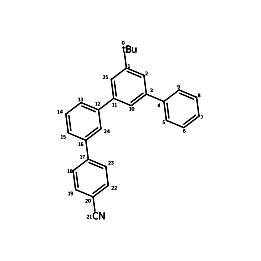 CC(C)(C)c1cc(-c2ccccc2)cc(-c2cccc(-c3ccc(C#N)cc3)c2)c1